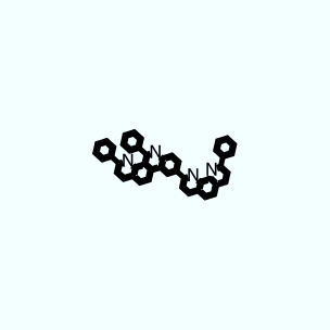 c1ccc(-c2ccc3ccc4ccc(-c5ccc6nc(-c7ccccc7)c7c(ccc8ccc(-c9ccccc9)nc87)c6c5)nc4c3n2)cc1